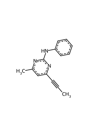 CC#Cc1cc(C)nc(Nc2ccccc2)n1